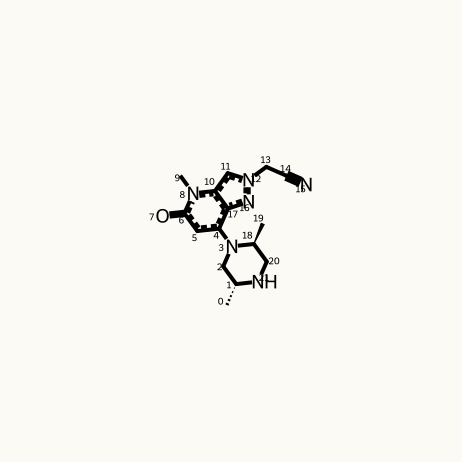 C[C@@H]1CN(c2cc(=O)n(C)c3cn(CC#N)nc23)[C@@H](C)CN1